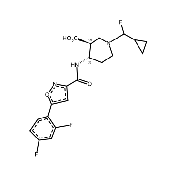 O=C(N[C@H]1CCN(C(F)C2CC2)C[C@@H]1C(=O)O)c1cc(-c2ccc(F)cc2F)on1